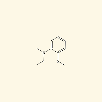 CCN(C)c1ccccc1SC